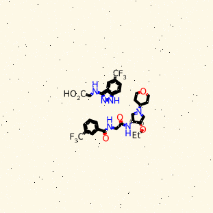 CCO[C@@H]1CN(C2CCOCC2)C[C@H]1NC(=O)CNC(=O)c1cccc(C(F)(F)F)c1.O=C(O)CNc1n[nH]c2ccc(C(F)(F)F)cc12